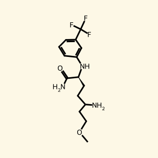 COCCC(N)CC[C@H](Nc1cccc(C(F)(F)F)c1)C(N)=O